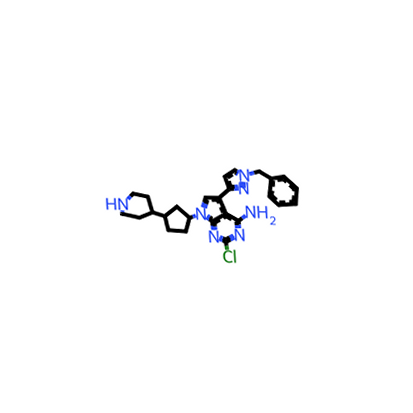 Nc1nc(Cl)nc2c1c(-c1ccn(Cc3ccccc3)n1)cn2C1CCC(C2CCNCC2)C1